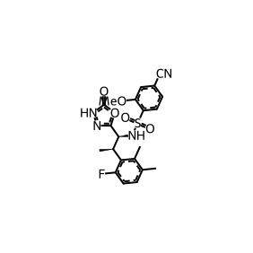 COc1cc(C#N)ccc1S(=O)(=O)N[C@H](c1n[nH]c(=O)o1)[C@H](C)c1c(F)ccc(C)c1C